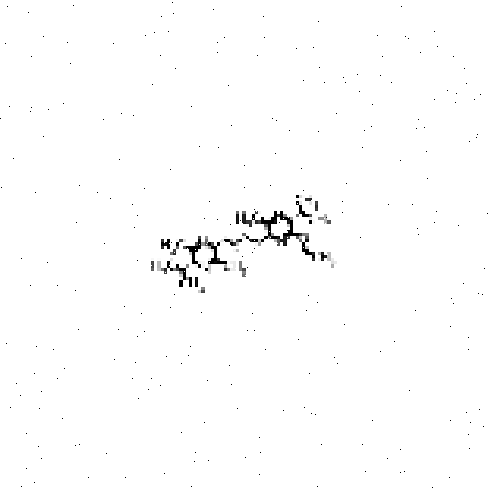 CCOC1=N[C@@H](CSSC[C@@H]2N=C(C)[C@@H](C(C)C)N=C2C)C(C)=N[C@@H]1C(C)C